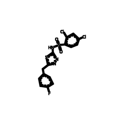 O=S(=O)(Nc1nnc(Cc2ccc(F)cc2)s1)c1ccc(Cl)cc1Cl